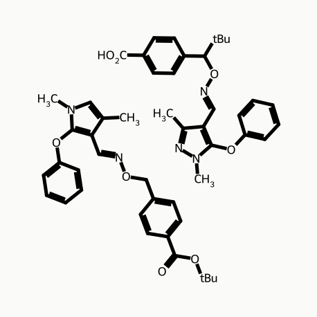 Cc1cn(C)c(Oc2ccccc2)c1C=NOCc1ccc(C(=O)OC(C)(C)C)cc1.Cc1nn(C)c(Oc2ccccc2)c1C=NOC(c1ccc(C(=O)O)cc1)C(C)(C)C